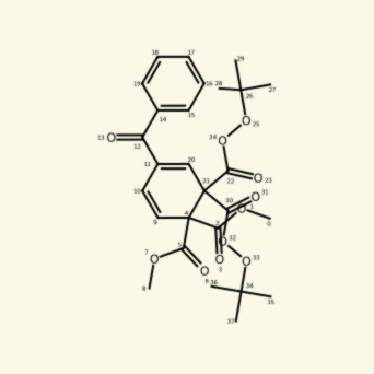 COC(=O)C1(C(=O)OC)C=CC(C(=O)c2ccccc2)=CC1(C(=O)OOC(C)(C)C)C(=O)OOC(C)(C)C